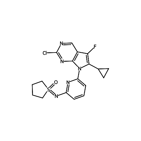 O=S1(=Nc2cccc(-n3c(C4CC4)c(F)c4cnc(Cl)nc43)n2)CCCC1